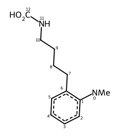 CNc1ccccc1CCCCNC(=O)O